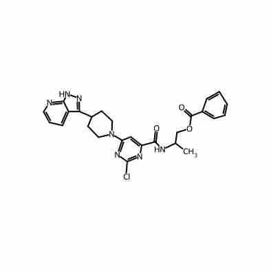 CC(COC(=O)c1ccccc1)NC(=O)c1cc(N2CCC(c3n[nH]c4ncccc34)CC2)nc(Cl)n1